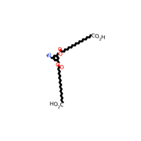 CN(C)Cc1cc(COC(=O)CCCCCCCCCCCCCCCCC(=O)O)cc(COC(=O)CCCCCCCCCCCCCCCCC(=O)O)c1